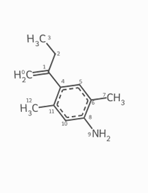 C=C(CC)c1cc(C)c(N)cc1C